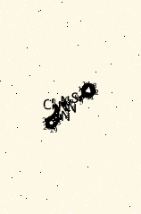 Clc1c2c(nc3nc(SCc4ccccc4)nn13)C1CCCC21